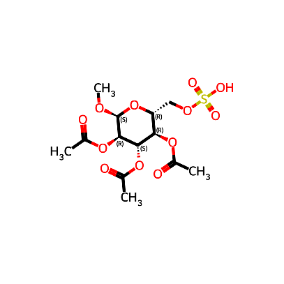 CO[C@H]1O[C@H](COS(=O)(=O)O)[C@@H](OC(C)=O)[C@H](OC(C)=O)[C@H]1OC(C)=O